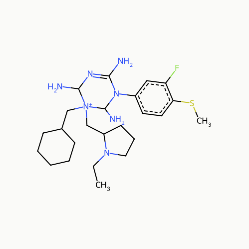 CCN1CCCC1C[N+]1(CC2CCCCC2)C(N)N=C(N)N(c2ccc(SC)c(F)c2)C1N